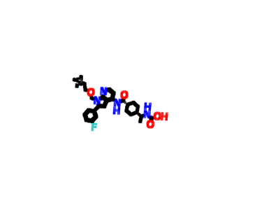 CC(NC(=O)O)[C@H]1CC[C@H](C(=O)Nc2ccnc3c2cc(-c2cccc(F)c2)n3COCC[Si](C)(C)C)CC1